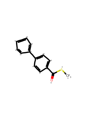 O=C(SC(F)(F)F)c1ccc(-c2ccccc2)cc1